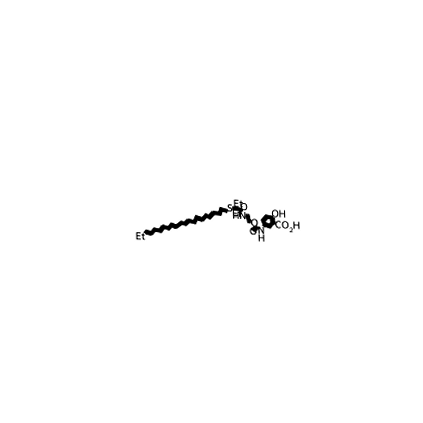 CCC=CCC=CCC=CCC=CCC=CCC=CCCCSC(CC)(CC)C(=O)NCCOC(=O)Nc1ccc(O)c(C(=O)O)c1